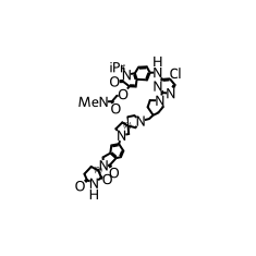 CNC(=O)COc1cc2cc(Nc3nc(N4CCC(CN5CC[C@@]6(CCN(c7ccc8c(c7)CN([C@@H]7CCC(=O)NC7=O)C8=O)C6)C5)CC4)ncc3Cl)ccc2n(C(C)C)c1=O